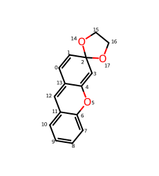 C1=CC2(C=C3Oc4ccccc4C=C13)OCCO2